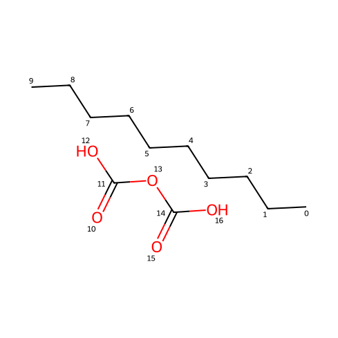 CCCCCCCCCC.O=C(O)OC(=O)O